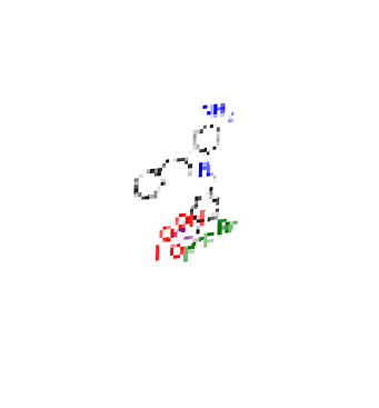 Nc1ccc2c(c1)c(Cc1ccccc1)cn2Cc1ccc(C(F)(F)P(=O)(O)O)c(Br)c1